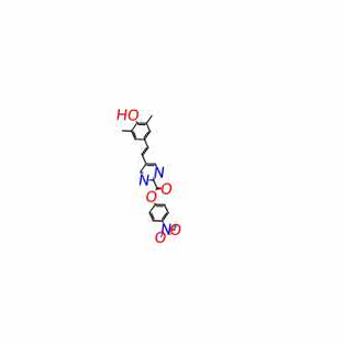 Cc1cc(/C=C/c2cnc(C(=O)Oc3ccc([N+](=O)[O-])cc3)nc2)cc(C)c1O